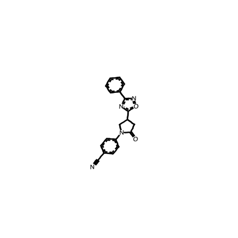 N#Cc1ccc(N2CC(c3nc(-c4ccccc4)no3)CC2=O)cc1